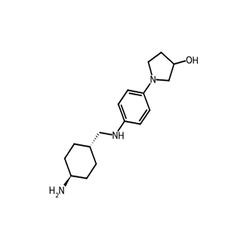 N[C@H]1CC[C@H](CNc2ccc(N3CCC(O)C3)cc2)CC1